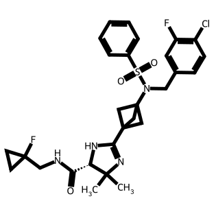 CC1(C)N=C(C23CC(N(Cc4ccc(Cl)c(F)c4)S(=O)(=O)c4ccccc4)(C2)C3)N[C@H]1C(=O)NCC1(F)CC1